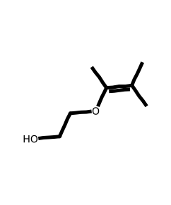 CC(C)=C(C)OCCO